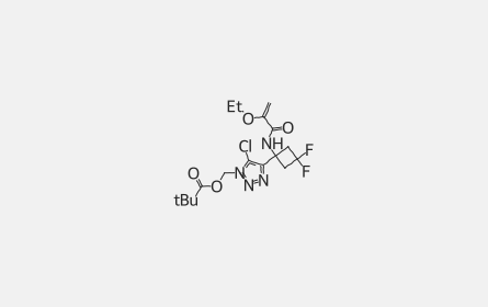 C=C(OCC)C(=O)NC1(c2nnn(COC(=O)C(C)(C)C)c2Cl)CC(F)(F)C1